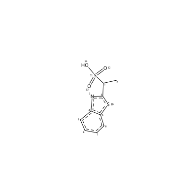 CC(c1nc2ccccc2s1)S(=O)(=O)O